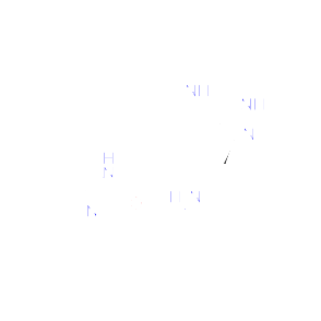 CC(CN)[C@H]1C(C(=N)c2ccc(C(=O)Nc3ccccn3)cc2)NN1C